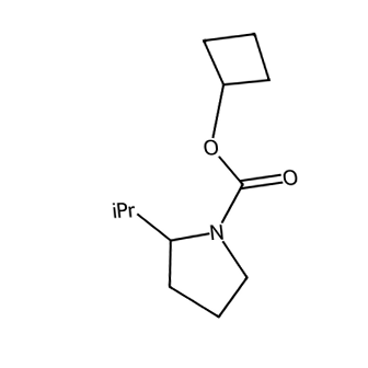 CC(C)C1CCCN1C(=O)OC1CCC1